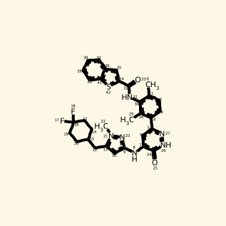 Cc1ccc(-c2cc(Nc3cc(CC4CCC(F)(F)CC4)n(C)n3)c(=O)[nH]n2)c(C)c1NC(=O)c1cc2ccccc2s1